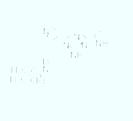 CC(C)(C)OC(=O)NCC1CCC(Nc2nc(-c3ccncc3)cn3cc(C(N)=O)nc23)CC1